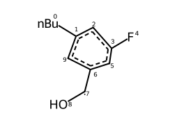 CCCCc1cc(F)cc([CH]O)c1